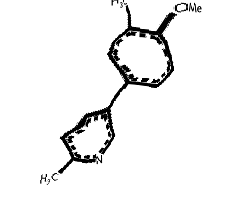 COc1ccc(-c2ccc(C)nc2)cc1C